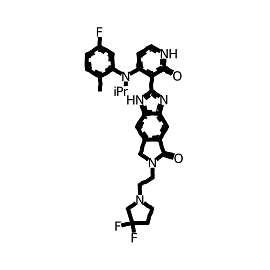 Cc1ccc(F)cc1N(c1cc[nH]c(=O)c1-c1nc2cc3c(cc2[nH]1)CN(CCN1CCC(F)(F)C1)C3=O)C(C)C